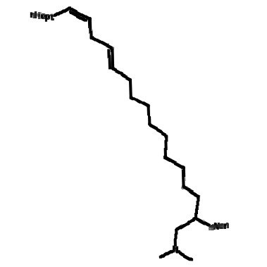 CCCCCCC/C=C\CC=CCCCCCCCCCC(CCCCCCCCC)CN(C)C